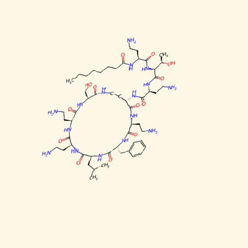 CCCCCCCC(=O)N[C@@H](CCN)C(=O)N[C@H](C(=O)N[C@@H](CCN)C(=O)N[C@H]1CCNC(=O)[C@H](CO)NC(=O)[C@H](CCN)NC(=O)[C@H](CCN)NC(=O)[C@H](CC(C)C)NC(=O)[C@@H](Cc2ccccc2)NC(=O)[C@H](CCN)NC1=O)[C@@H](C)O